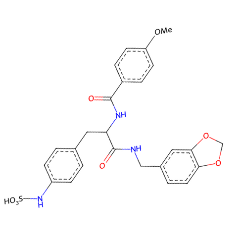 COc1ccc(C(=O)NC(Cc2ccc(NS(=O)(=O)O)cc2)C(=O)NCc2ccc3c(c2)OCO3)cc1